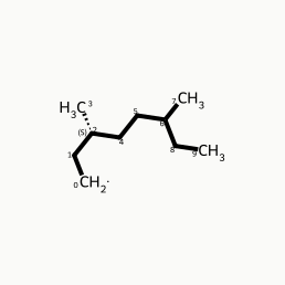 [CH2]C[C@H](C)CCC(C)CC